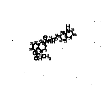 CC(C(=O)O)[C@@H]1CCN(C(=O)NCCCc2ccc3c(n2)NCCC3)Cc2ccccc21